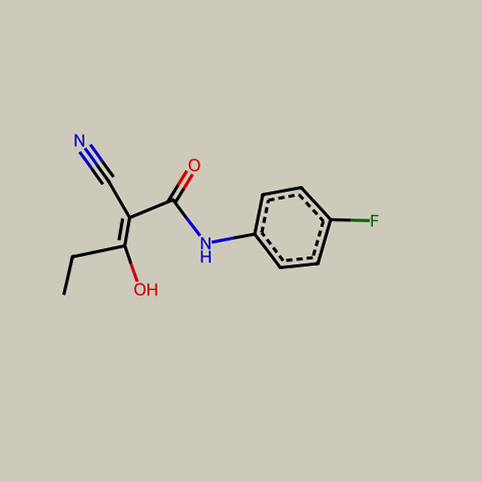 CCC(O)=C(C#N)C(=O)Nc1ccc(F)cc1